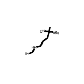 CCCCC(C)(CCCNCC(C)C)N=O